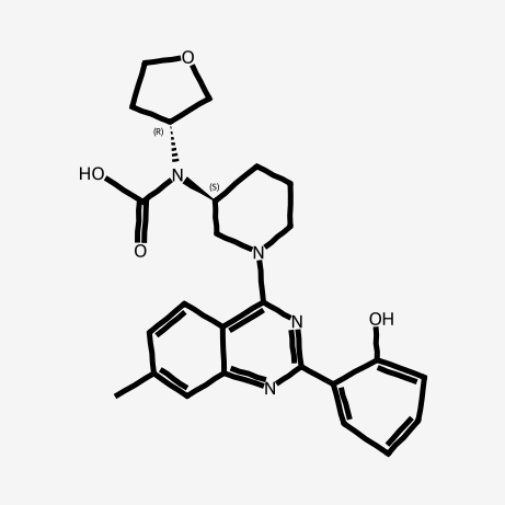 Cc1ccc2c(N3CCC[C@H](N(C(=O)O)[C@@H]4CCOC4)C3)nc(-c3ccccc3O)nc2c1